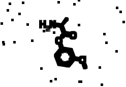 COc1cccc(OC(=O)[C@H](C)N)c1